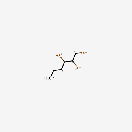 CCCC(S)C(S)CS